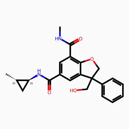 CNC(=O)c1cc(C(=O)N[C@H]2C[C@@H]2C)cc2c1OCC2(CO)c1ccccc1